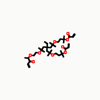 C=CC(=O)OC(C)(C)CCOC(C)(C)CC(CC)(CC(C)(C)OCCOC(C)C(=O)C=C)CC(C)(C)OCCC(C)(C)OC(=O)C=C